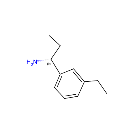 CCc1cccc([C@H](N)CC)c1